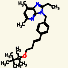 CCc1nc2c(C)cc(C)nc2n1Cc1ccc(C=CCCO[Si](C)(C)C(C)(C)C)cc1